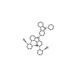 N#Cc1ccccc1-c1ccc2c(c1)c1c(-c3c(C#N)cccc3C#N)cccc1n2-c1ccc2c(c1)c1ccccc1n2-c1ccccc1